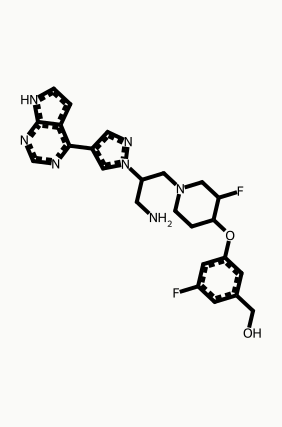 NCC(CN1CCC(Oc2cc(F)cc(CO)c2)C(F)C1)n1cc(-c2ncnc3[nH]ccc23)cn1